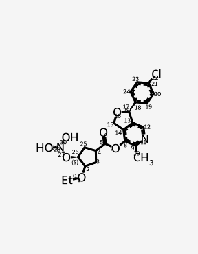 CCOC1CC(C(=O)Oc2c(C)ncc3c2CO[C@H]3c2ccc(Cl)cc2)C[C@@H]1ON(O)O